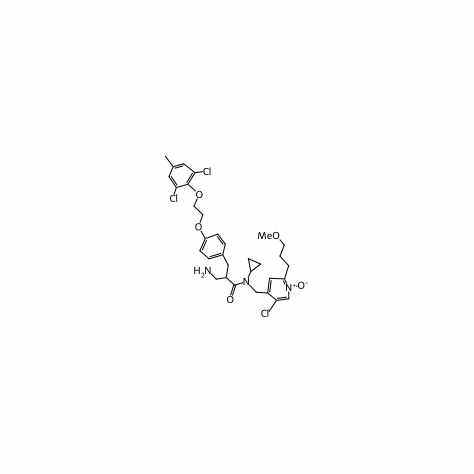 COCCCc1cc(CN(C(=O)C(CN)Cc2ccc(OCCOc3c(Cl)cc(C)cc3Cl)cc2)C2CC2)c(Cl)c[n+]1[O-]